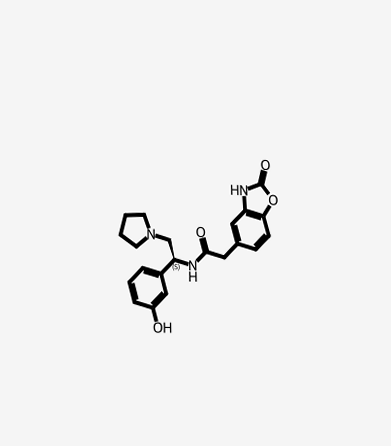 O=C(Cc1ccc2oc(=O)[nH]c2c1)N[C@H](CN1CCCC1)c1cccc(O)c1